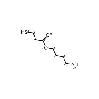 O=C(CCS)OCCCCS